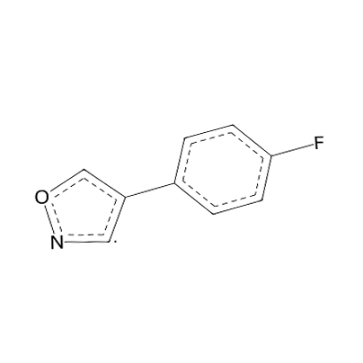 Fc1ccc(-c2[c]noc2)cc1